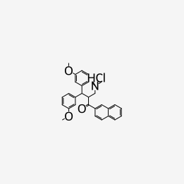 COc1cccc(C(c2cccc(OC)c2)C(CN(C)C)C(=O)c2ccc3ccccc3c2)c1.Cl